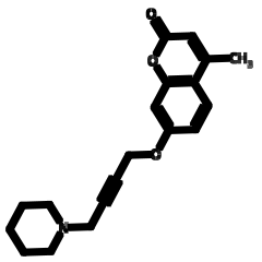 Cc1cc(=O)oc2cc(OCC#CCN3CCCCC3)ccc12